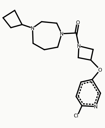 O=C(N1CCCN(C2CCC2)CC1)N1CC(Oc2ccc(Cl)nc2)C1